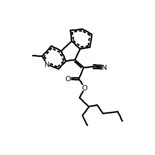 CCCCC(CC)COC(=O)/C(C#N)=C1/c2ccccc2-c2cc(C)ncc21